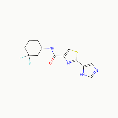 O=C(NC1CCCC(F)(F)C1)c1csc(-c2cnc[nH]2)n1